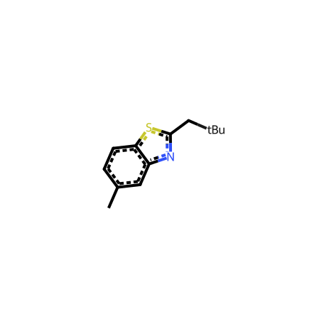 Cc1ccc2sc(CC(C)(C)C)nc2c1